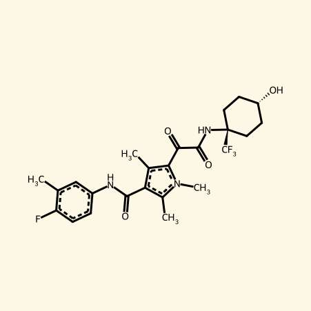 Cc1cc(NC(=O)c2c(C)c(C(=O)C(=O)N[C@]3(C(F)(F)F)CC[C@H](O)CC3)n(C)c2C)ccc1F